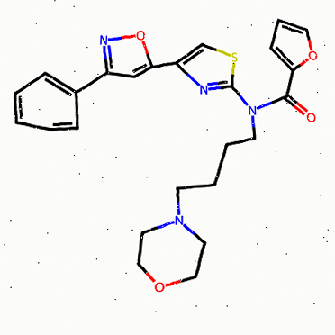 O=C(c1ccco1)N(CCCCN1CCOCC1)c1nc(-c2cc(-c3ccccc3)no2)cs1